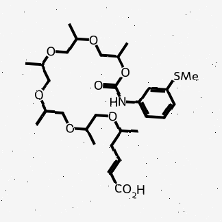 CSc1cccc(NC(=O)OC(C)COC(C)COC(C)COC(C)COC(C)COC(C)CC=CC(=O)O)c1